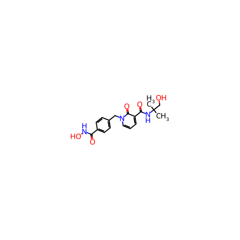 CC(C)(CO)NC(=O)c1cccn(Cc2ccc(C(=O)NO)cc2)c1=O